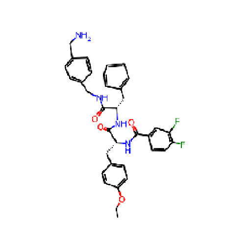 CCOc1ccc(C[C@@H](NC(=O)c2ccc(F)c(F)c2)C(=O)N[C@@H](Cc2ccccc2)C(=O)NCc2ccc(CN)cc2)cc1